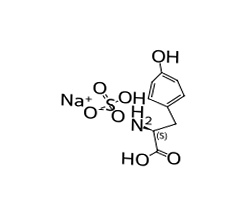 N[C@@H](Cc1ccc(O)cc1)C(=O)O.O=S(=O)([O-])O.[Na+]